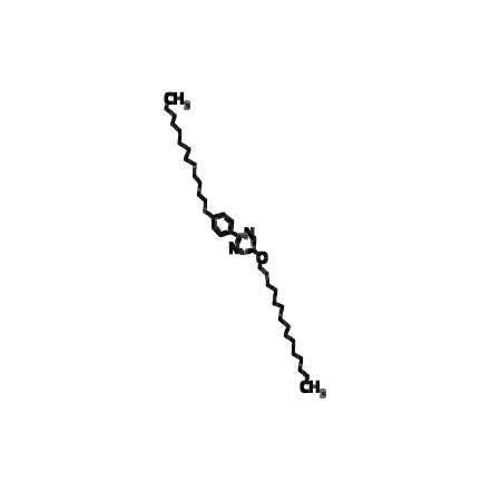 CCCCCCCCCCCCCCCOc1cnc(-c2ccc(CCCCCCCCCCCCCC)cc2)nc1